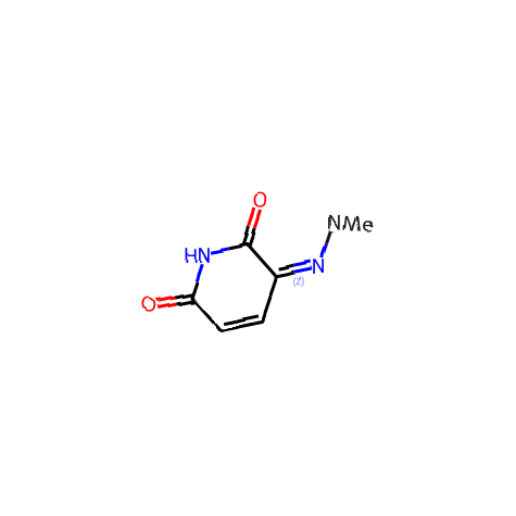 CN/N=C1/C=CC(=O)NC1=O